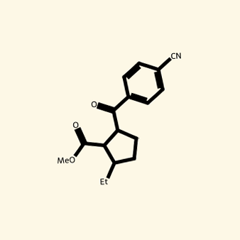 [CH2]CC1C[CH]C(C(=O)c2ccc(C#N)cc2)C1C(=O)OC